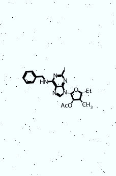 CC[C@H]1O[C@@H](n2cnc3c(NCc4ccccc4)nc(I)nc32)[C@H](OC(C)=O)[C@@H]1C